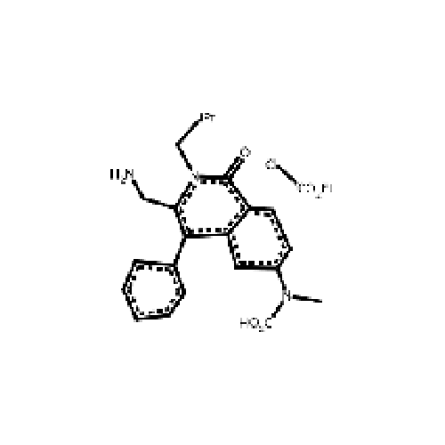 CC(C)Cn1c(CN)c(-c2ccccc2)c2cc(N(C)C(=O)O)ccc2c1=O.CCOC(=O)Cl